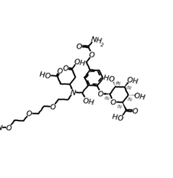 NOCCOCCOCCN(C(CC(=O)O)CC(=O)O)C(O)c1cc(COC(N)=O)ccc1O[C@@H]1O[C@H](C(=O)O)[C@@H](O)[C@H](O)[C@H]1O